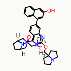 CN(C)CC(=O)N1[C@@H]2CC[C@H]1CN(c1nc(OCC34CCCN3CCC4)nc3cc(-c4cc(O)cc5ccccc45)ccc13)C2